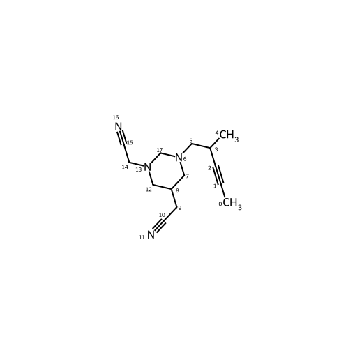 CC#CC(C)CN1CC(CC#N)CN(CC#N)C1